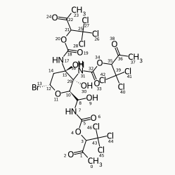 CC(=O)C(OC(=O)NC(O)[C@H]1O[C@H](Br)C[C@](O)(NC(=O)OC(C(C)=O)C(Cl)(Cl)Cl)[C@@]1(O)NC(=O)OC(C(C)=O)C(Cl)(Cl)Cl)C(Cl)(Cl)Cl